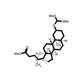 COC(=O)CC[C@@H](C)[C@H]1CC[C@H]2[C@@H]3CC[C@@H]4CCC(OC(OC)OC)C[C@]4(C)[C@H]3CC[C@]12C